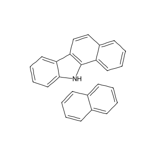 c1ccc2c(c1)ccc1c3ccccc3[nH]c21.c1ccc2ccccc2c1